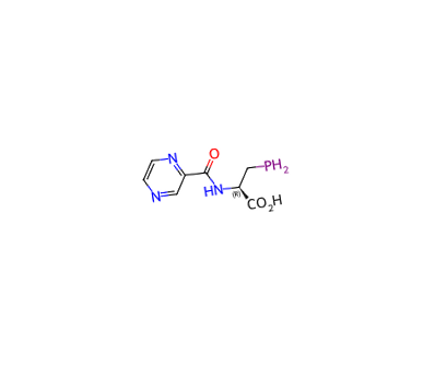 O=C(N[C@@H](CP)C(=O)O)c1cnccn1